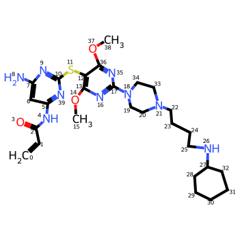 C=CC(=O)Nc1cc(N)nc(Sc2c(OC)nc(N3CCN(CCCCNC4CCCCC4)CC3)nc2OC)n1